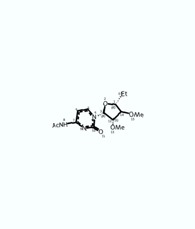 CC[C@H]1O[C@@H](n2ccc(NC(C)=O)nc2=O)[C@@H](OC)C1OC